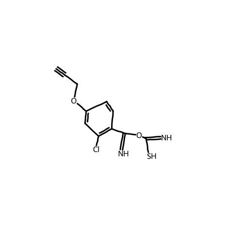 C#CCOc1ccc(C(=N)OC(=N)S)c(Cl)c1